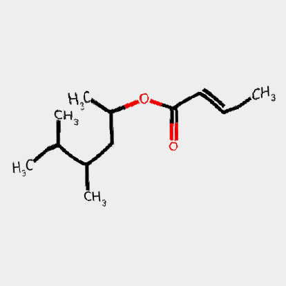 C/C=C/C(=O)OC(C)CC(C)C(C)C